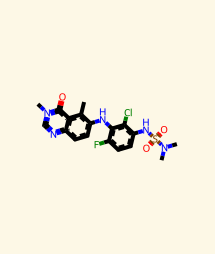 Cc1c(Nc2c(F)ccc(NS(=O)(=O)N(C)C)c2Cl)ccc2ncn(C)c(=O)c12